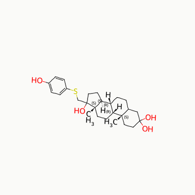 C[C@]12CCC(O)(O)CC1CC[C@@H]1[C@H]2CC[C@@]2(C)[C@H]1CCC2(O)CSc1ccc(O)cc1